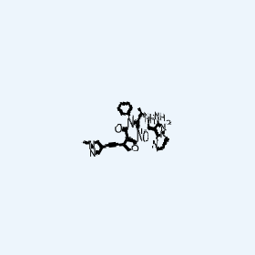 CC(NC(=O)c1c(N)nn2cccnc12)c1nc2occ(C#Cc3cnn(C)c3)c2c(=O)n1-c1ccccc1